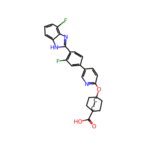 O=C(O)C12CCC(Oc3ccc(-c4ccc(-c5nc6c(F)cccc6[nH]5)c(F)c4)cn3)(CC1)CC2